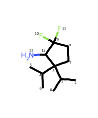 CC(C)C1(C(C)C)CCC(F)(F)C1N